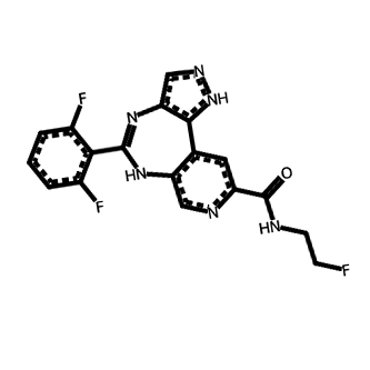 O=C(NCCF)c1cc2c(cn1)NC(c1c(F)cccc1F)=Nc1cn[nH]c1-2